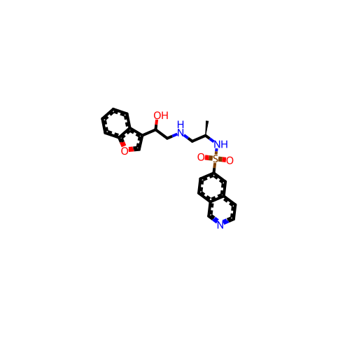 C[C@H](CNCC(O)c1coc2ccccc12)NS(=O)(=O)c1ccc2cnccc2c1